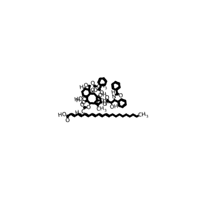 CC(=O)O[C@H]1C(=O)[C@@]2(C)[C@H]([C@H](OC(=O)c3ccccc3)[C@]3(O)C[C@H](OC(=O)[C@H](O)[C@@H](NC(=O)c4ccccc4)c4ccccc4)C(C)=C1C3(C)C)[C@]1(OC(C)=O)CO[C@@H]1C[C@@H]2O.CCCCCCCCCC=CC=CC=CC=CC=CC=CC(=O)O